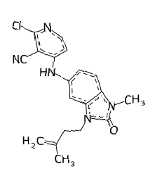 C=C(C)CCn1c(=O)n(C)c2ccc(Nc3ccnc(Cl)c3C#N)cc21